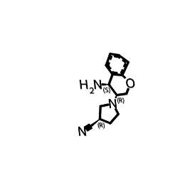 N#C[C@@H]1CCN([C@H]2COc3ccccc3[C@@H]2N)C1